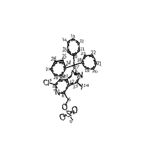 CS(=O)(=O)OCc1nc(Cl)cc2c1c(I)nn2C(c1ccccc1)(c1ccccc1)c1ccccc1